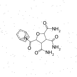 NC(=O)C1OC(C(=O)n2c3ccc2cc3)C(C(N)=O)C1C(N)=O